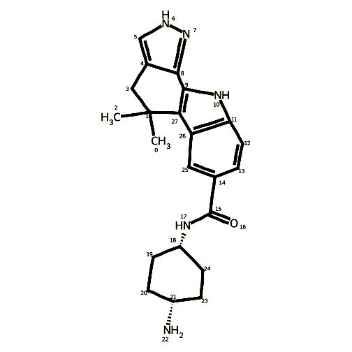 CC1(C)Cc2c[nH]nc2-c2[nH]c3ccc(C(=O)N[C@H]4CC[C@@H](N)CC4)cc3c21